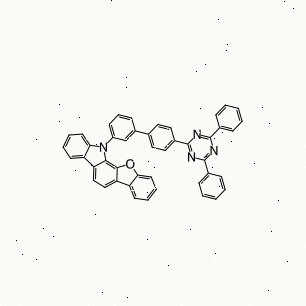 c1ccc(-c2nc(-c3ccccc3)nc(-c3ccc(-c4cccc(-n5c6ccccc6c6ccc7c8ccccc8oc7c65)c4)cc3)n2)cc1